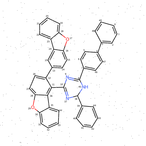 c1ccc(-c2ccc(C3=NC(c4c(-c5ccc6oc7ccccc7c6c5)ccc5oc6ccccc6c45)=NC(c4ccccc4)N3)cc2)cc1